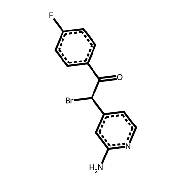 Nc1cc(C(Br)C(=O)c2ccc(F)cc2)ccn1